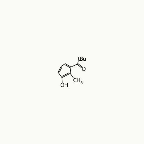 Cc1c(O)cccc1C(=O)C(C)(C)C